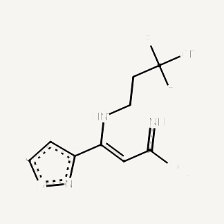 CCOC(=O)C(=N)/C=C(\NCCC(F)(F)C(F)(F)F)c1ccon1